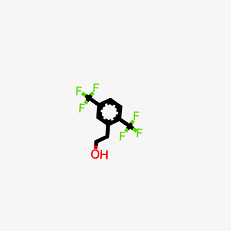 OCCc1cc(C(F)(F)F)ccc1C(F)(F)F